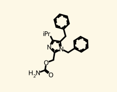 CC(C)c1nc(COC(N)=O)n(Cc2ccccc2)c1Cc1ccccc1